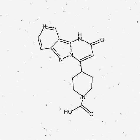 O=C(O)N1CCC(c2cc(=O)[nH]c3c4cnccc4nn23)CC1